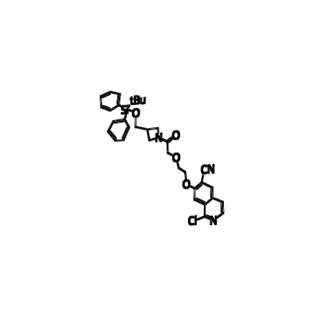 CC(C)(C)[Si](OCC1CN(C(=O)COCCOc2cc3c(Cl)nccc3cc2C#N)C1)(c1ccccc1)c1ccccc1